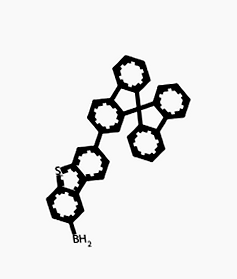 Bc1ccc2sc3cc(-c4ccc5c(c4)C4(c6ccccc6-c6ccccc64)c4ccccc4-5)ccc3c2c1